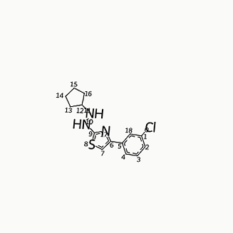 Clc1cccc(-c2csc(NNC3CCCC3)n2)c1